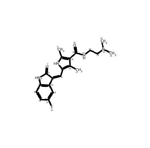 Cc1[nH]c(C=C2C(=O)Nc3ccc(F)cc32)c(C)c1C(=O)NCCN(C)C